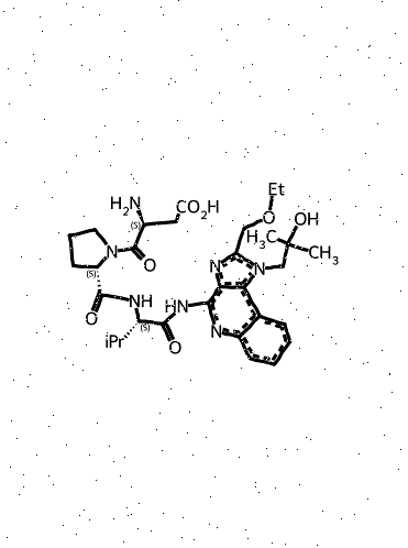 CCOCc1nc2c(NC(=O)[C@@H](NC(=O)[C@@H]3CCCN3C(=O)[C@@H](N)CC(=O)O)C(C)C)nc3ccccc3c2n1CC(C)(C)O